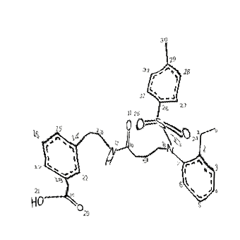 CCc1ccccc1N(CC(=O)NCc1cccc(C(=O)O)c1)S(=O)(=O)c1ccc(C)cc1